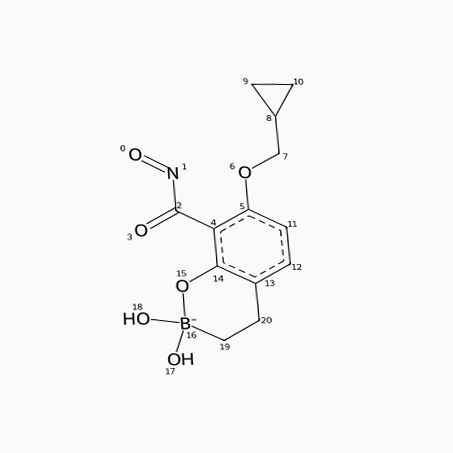 O=NC(=O)c1c(OCC2CC2)ccc2c1O[B-](O)(O)CC2